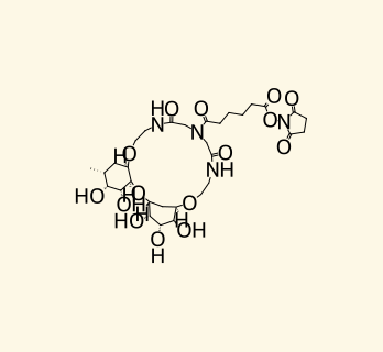 C[C@@H]1C[C@H]2OCCNC(=O)CN(C(=O)CCCCC(=O)ON3C(=O)CCC3=O)CC(=O)NCCO[C@@H]3C[C@@H](O[C@H]2[C@H](O)[C@@H]1O)[C@@H](O)[C@@H](O)[C@@H]3O